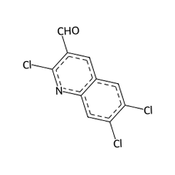 O=Cc1cc2cc(Cl)c(Cl)cc2nc1Cl